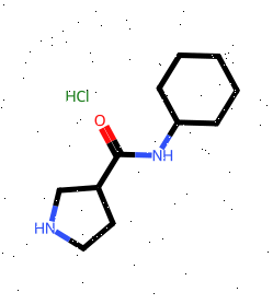 Cl.O=C(NC1CCCCC1)C1CCNC1